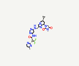 Cc1ccnc([C@@H]2[C@@H](C(=O)Nc3cc(NCc4cn5cc(C6CC6)cc(N6CC(=O)N(C)C6=O)c5n4)ncn3)C2(F)F)n1